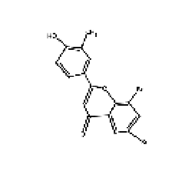 Cc1cc(-c2cc(=O)c3cc(Br)cc(Br)c3o2)ccc1O